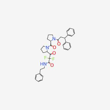 O=C([C@H]1CCCN1C(=O)CC(c1ccccc1)c1ccccc1)N1CCCC1C(=O)C(F)(F)C(=O)NCCc1ccccc1